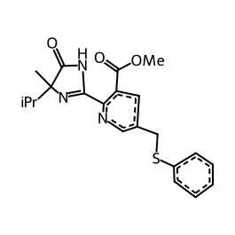 COC(=O)c1cc(CSc2ccccc2)cnc1C1=NC(C)(C(C)C)C(=O)N1